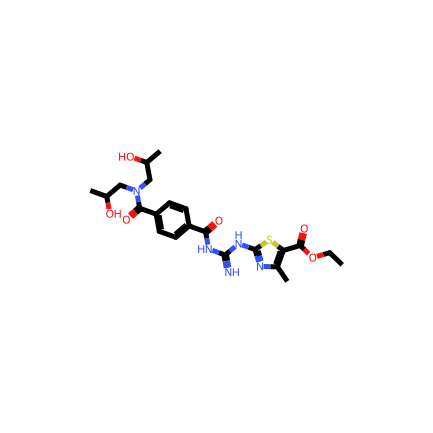 CCOC(=O)c1sc(NC(=N)NC(=O)c2ccc(C(=O)N(CC(C)O)CC(C)O)cc2)nc1C